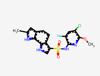 COc1nc(NS(=O)(=O)c2c[nH]c3c2ccc2cc(C)[nH]c23)c(F)cc1Cl